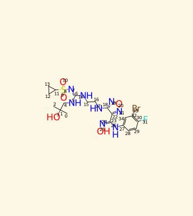 CC(C)(O)CN/C(=N\S(=O)(=O)C1CC1)NCCNc1nonc1/C(=N/O)Nc1ccc(F)c(Br)c1